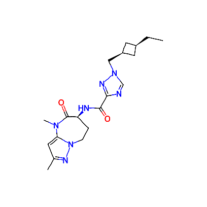 CC[C@H]1C[C@@H](Cn2cnc(C(=O)N[C@H]3CCn4nc(C)cc4N(C)C3=O)n2)C1